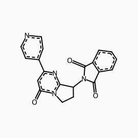 O=C1c2ccccc2C(=O)N1C1CCn2c1nc(-c1ccncc1)cc2=O